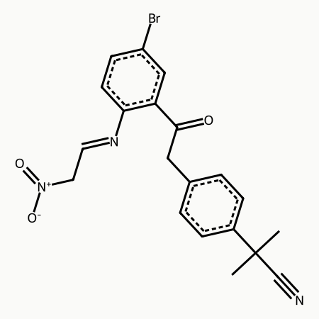 CC(C)(C#N)c1ccc(CC(=O)c2cc(Br)ccc2N=CC[N+](=O)[O-])cc1